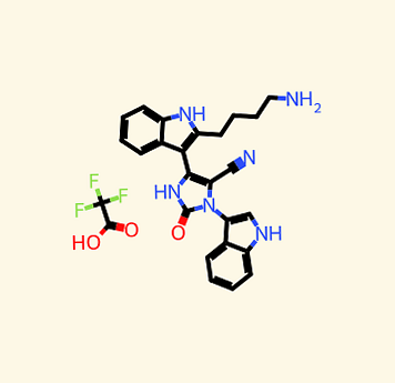 N#Cc1c(-c2c(CCCCN)[nH]c3ccccc23)[nH]c(=O)n1-c1c[nH]c2ccccc12.O=C(O)C(F)(F)F